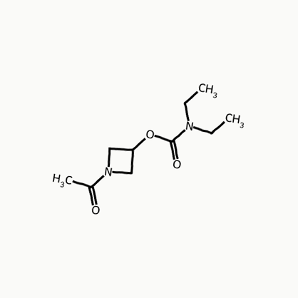 CCN(CC)C(=O)OC1CN(C(C)=O)C1